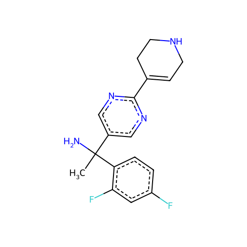 CC(N)(c1cnc(C2=CCNCC2)nc1)c1ccc(F)cc1F